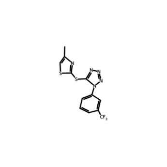 Cc1csc(Sc2nnnn2-c2cccc(C(F)(F)F)c2)n1